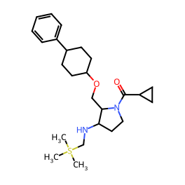 CS(C)(C)CNC1CCN(C(=O)C2CC2)C1COC1CCC(c2ccccc2)CC1